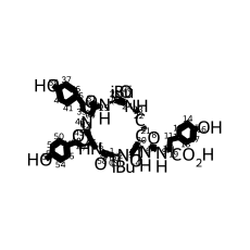 CC[C@H](C)[C@@H]1NC(=O)[C@H](NC(=O)N[C@@H](Cc2ccc(O)cc2)C(=O)O)CCCCNC(=O)[C@H]([C@@H](C)CC)NC(=O)[C@H](CCc2ccc(O)cc2)N(C)C(=O)[C@H](CCc2ccc(O)cc2)NC1=O